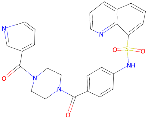 O=C(c1ccc(NS(=O)(=O)c2cccc3cccnc23)cc1)N1CCN(C(=O)c2cccnc2)CC1